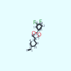 C=C[C@H]1CC[C@H]([C@H]2CO[C@H](c3ccc(F)c(F)c3)OC2)CC1